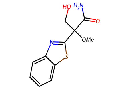 COC(CO)(C(N)=O)c1nc2ccccc2s1